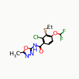 CCSc1c(OC(F)F)ccc(C(=O)Nc2nnc(C)o2)c1Cl